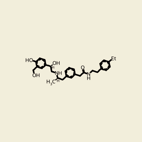 CCc1ccc(CCNC(=O)Cc2cccc(C[C@@H](C)NC[C@H](O)c3ccc(O)c(CO)c3)c2)cc1